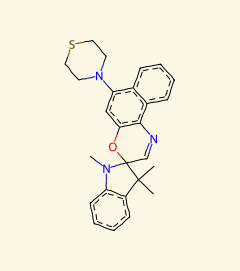 CN1c2ccccc2C(C)(C)C12C=Nc1c(cc(N3CCSCC3)c3ccccc13)O2